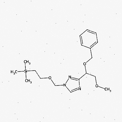 COCC(OCc1ccccc1)c1ncn(COCC[Si](C)(C)C)n1